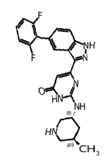 C[C@H]1CNC[C@H](Nc2nc(-c3n[nH]c4ccc(-c5c(F)cccc5F)cc34)cc(=O)[nH]2)C1